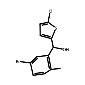 Cc1ccc(Br)cc1C(O)c1ccc(Cl)s1